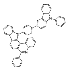 C1=CC2c3cc(-c4ccc(-n5c6ccccc6c6ccc7c(-c8ccccc8)nc8ccccc8c7c65)cc4)ccc3N(c3ccccc3)C2C=C1